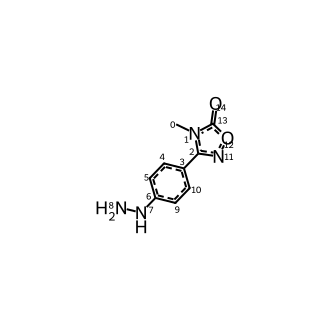 Cn1c(-c2ccc(NN)cc2)noc1=O